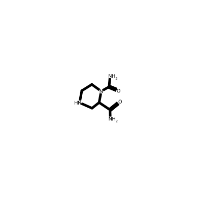 NC(=O)C1CNCCN1C(N)=O